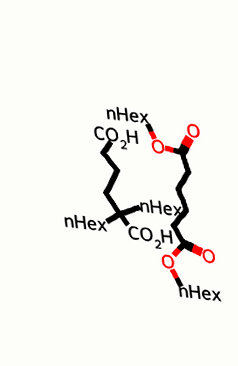 CCCCCCC(CCCCCC)(CCCC(=O)O)C(=O)O.CCCCCCOC(=O)CCCCC(=O)OCCCCCC